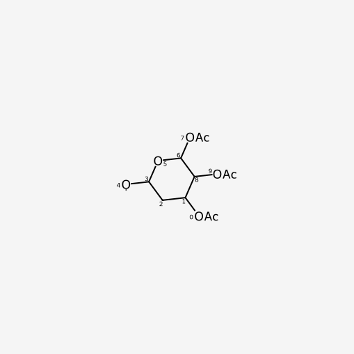 CC(=O)OC1CC([O])OC(OC(C)=O)C1OC(C)=O